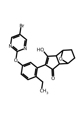 CCc1ccc(Oc2ncc(Br)cn2)cc1C1=C(O)C2C3CCC(O3)C2C1=O